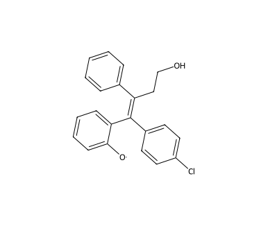 [O]c1ccccc1C(=C(CCO)c1ccccc1)c1ccc(Cl)cc1